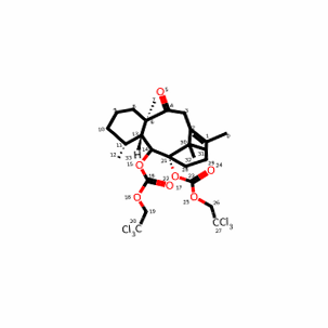 CC1=C2CC(=O)[C@]3(C)CCC[C@@H](C)[C@H]3C(OC(=O)OCC(Cl)(Cl)Cl)[C@](OC(=O)OCC(Cl)(Cl)Cl)(CC1)C2(C)C